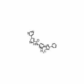 Cc1cc(-c2ccccc2)nn1-c1ccc(NC(=O)C2=CC(c3cncnc3)CN=C2)nn1